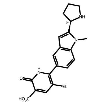 CCc1cc(C(=O)O)c(=O)[nH]c1-c1ccc2c(c1)cc([C@H]1CCCN1)n2C